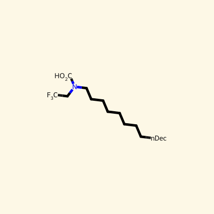 CCCCCCCCCCCCCCCCCCN(CC(F)(F)F)C(=O)O